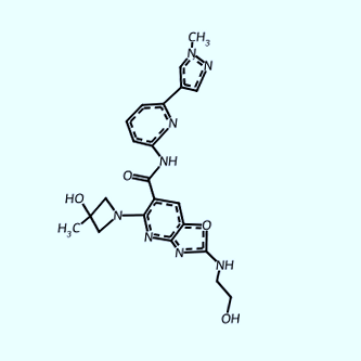 Cn1cc(-c2cccc(NC(=O)c3cc4oc(NCCO)nc4nc3N3CC(C)(O)C3)n2)cn1